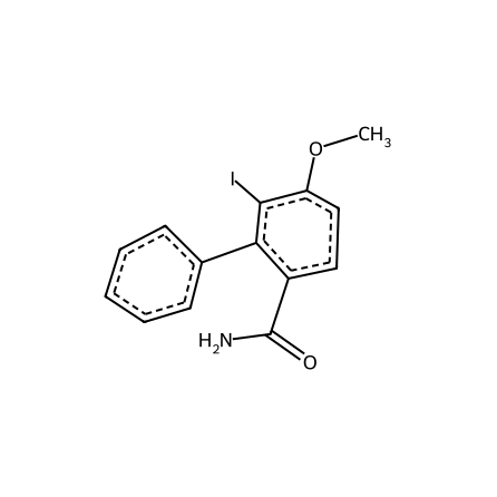 COc1ccc(C(N)=O)c(-c2ccccc2)c1I